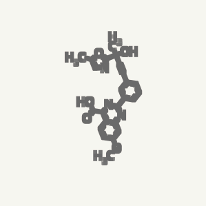 COc1ccc2c(C(=O)O)nc(-c3cccc(C#CC(C)(O)c4ncc(C)o4)c3)nc2c1